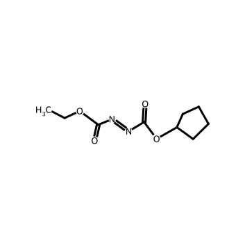 CCOC(=O)/N=N/C(=O)OC1CCCC1